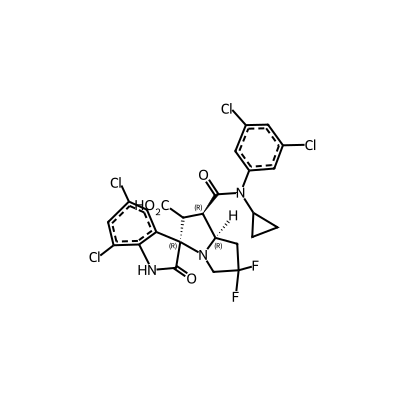 O=C(O)C1[C@@H](C(=O)N(c2cc(Cl)cc(Cl)c2)C2CC2)[C@H]2CC(F)(F)CN2[C@]12C(=O)Nc1c(Cl)cc(Cl)cc12